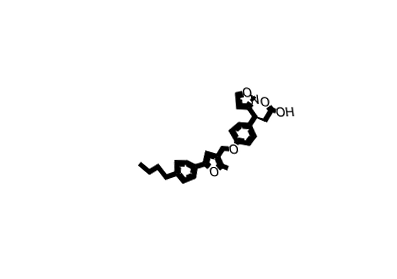 CCCCc1ccc(-c2cc(COc3ccc([C@H](CC(=O)O)c4ccon4)cc3)c(C)o2)cc1